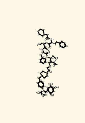 CC(C)C[C@H](NC(=O)[C@H](CCc1ccccc1)NC(=O)CN1CCOCC1)C(=O)N[C@@H](Cc1ccccc1)C(=O)N[C@@H](CC(C)C)/C(=N/OCC(=O)N1CCN(Cc2ccc(-n3c(O)nnc3-c3cc(C(C)C)c(O)cc3O)cc2)CC1)[C@@]1(C)CO1